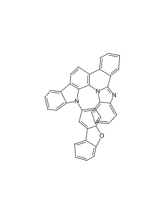 c1ccc2c(c1)nc1c3ccccc3c3ccc4c5ccccc5n(-c5ccc6oc7ccccc7c6c5)c4c3n21